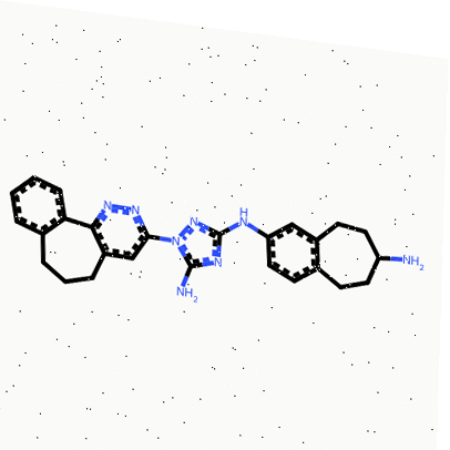 Nc1nc(Nc2ccc3c(c2)CCC(N)CC3)nn1-c1cc2c(nn1)-c1ccccc1CCC2